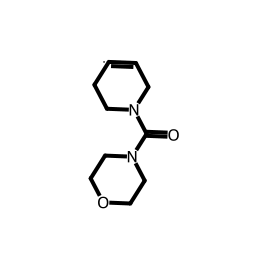 O=C(N1CC=[C]CC1)N1CCOCC1